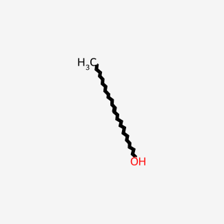 CCCCCCCCCCCCC/C=C/CCCCCCCCCCCCCO